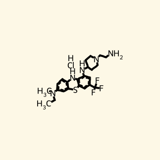 CCN(C)c1ccc2c(c1)Sc1cc(C(F)(F)F)cc(NC3CCN(CCN)CC3)c1N2.Cl